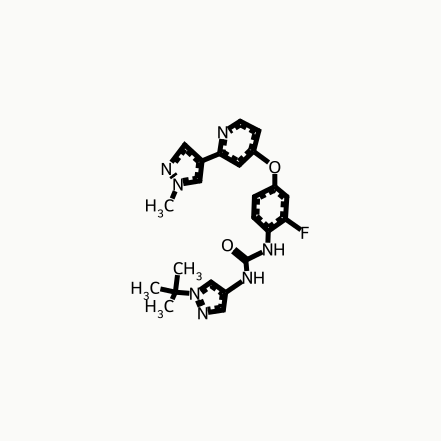 Cn1cc(-c2cc(Oc3ccc(NC(=O)Nc4cnn(C(C)(C)C)c4)c(F)c3)ccn2)cn1